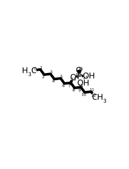 CCCCCCCC(CCCCC)OP(=O)(O)O